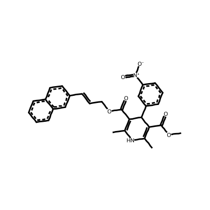 COC(=O)C1=C(C)NC(C)=C(C(=O)OCC=Cc2ccc3ccccc3c2)C1c1cccc([N+](=O)[O-])c1